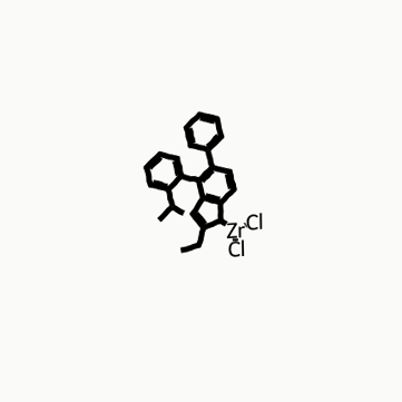 CCC1=Cc2c(ccc(-c3ccccc3)c2-c2ccccc2C(C)C)[CH]1[Zr]([Cl])[Cl]